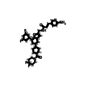 Nc1ccc(C=CC(=O)NCc2cc3cc(-c4ccc(C(=O)N5CCC(F)(F)CC5)cc4)cc(-c4cc(F)cc(F)c4)c3o2)cn1